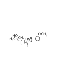 COc1cccc(-c2cc(C(=O)N3CCC(CC(C)(C)O)CC3)[nH]n2)c1